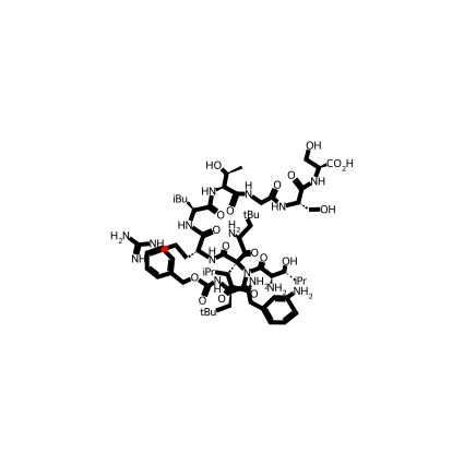 CCC(C)[C@H](NC(=O)[C@@H](CCCNC(=N)N)NC(=O)[C@](C(=O)[C@@H](N)CC(C)(C)C)(C(C(=O)[C@@H](N)Cc1cccc(N)c1)C(C)C)N(C(=O)[C@@H](N)[C@H](O)C(C)C)C(=O)[C@@H](CC(C)(C)C)NC(=O)OCc1ccccc1)C(=O)N[C@H](C(=O)NCC(=O)N[C@@H](CO)C(=O)N[C@@H](CO)C(=O)O)[C@H](C)O